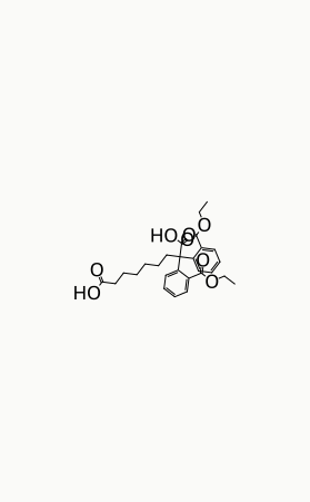 CCOC(=O)c1ccccc1C(CCCCCCC(=O)O)(C(=O)O)c1ccccc1C(=O)OCC